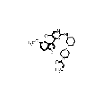 C=CC(=O)N1CCN([C@H]2CCC[C@@H](Nc3ncc(Cl)c(-c4c[nH]c5ccc(OC)cc45)n3)C2)CC1